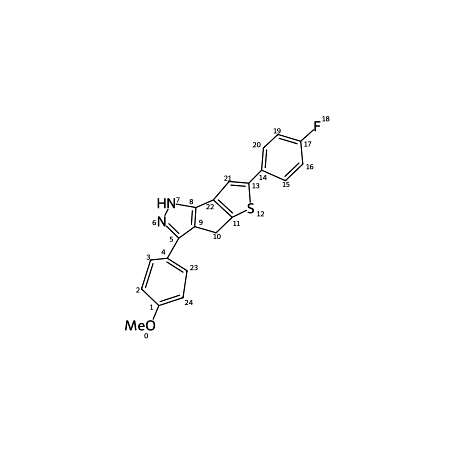 COc1ccc(-c2n[nH]c3c2Cc2sc(-c4ccc(F)cc4)cc2-3)cc1